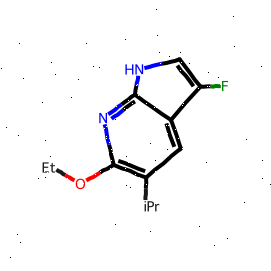 CCOc1nc2[nH]cc(F)c2cc1C(C)C